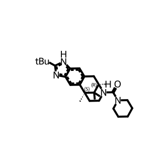 CC(C)(C)c1nc2cc3c(cc2[nH]1)C[C@H]1N(C(=O)N2CCCCC2)CC[C@]3(C)C1(C)C